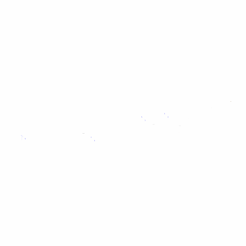 Cc1cc(C(=O)NC(=S)Nc2ccc(NC(=O)CCCCN(C)C)cc2)ccc1Br.Cl